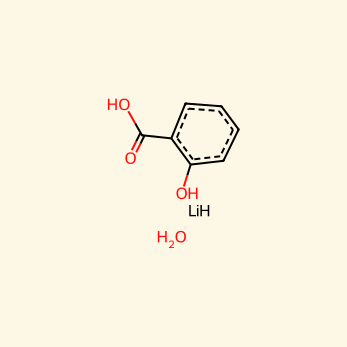 O.O=C(O)c1ccccc1O.[LiH]